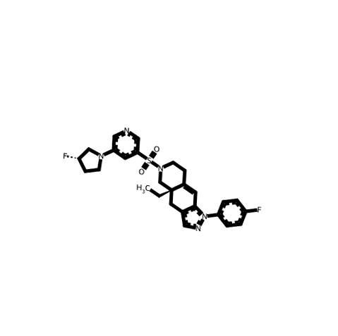 CC[C@]12Cc3cnn(-c4ccc(F)cc4)c3C=C1CCN(S(=O)(=O)c1cncc(N3CC[C@H](F)C3)c1)C2